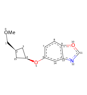 COC[C@H]1C[C@@H](Oc2ccc3ocnc3c2)C1